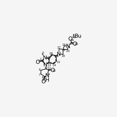 Cn1c(=O)n(C2CCC(=O)NC2=O)c2ccc(N3CC4(CN(C(=O)OC(C)(C)C)C4)C3)cc21